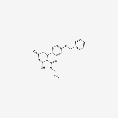 CCOC(=O)C1C(O)=CC(=O)CC1c1ccc(OCc2ccccc2)cc1